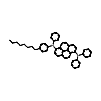 CCCCCCCCc1ccc(N(c2ccccc2)c2ccc3ccc4c(N(c5ccccc5)c5ccccc5)ccc5ccc2c3c54)cc1